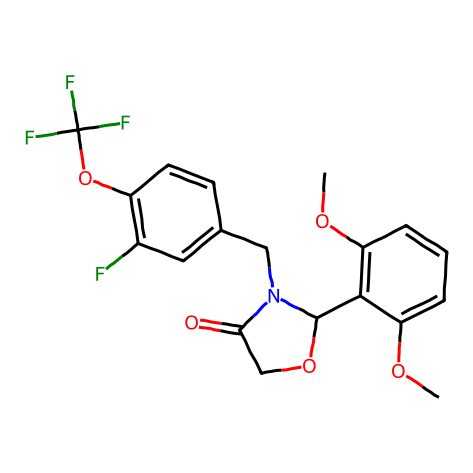 COc1cccc(OC)c1C1OCC(=O)N1Cc1ccc(OC(F)(F)F)c(F)c1